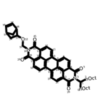 CCCCCCCCC(CCCCCCCC)N1C(=O)c2ccc3c4ccc5c6c(ccc(c7ccc(c2c37)C1=O)c64)C(=O)N(COC1CC2C=CC1C2)C5=O